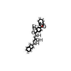 CCOc1cc(C(=O)N2C3CCCC2COC3)ccc1C(=O)NC[C@@H](O)CNC1Cc2ccccc2C1